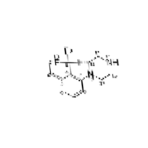 C\C=C/C(=C(\C=C/C)C(F)(F)F)N1CCNCC1